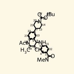 CNC(=O)c1ccc(NC2c3cc(C4CCN(C(=O)OC(C)(C)C)CC4)ccc3N(C(C)=O)[C@@H](C)C2C)cc1